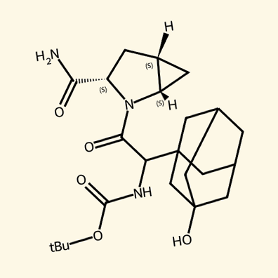 CC(C)(C)OC(=O)NC(C(=O)N1[C@H](C(N)=O)C[C@@H]2C[C@@H]21)C12CC3CC(CC(O)(C3)C1)C2